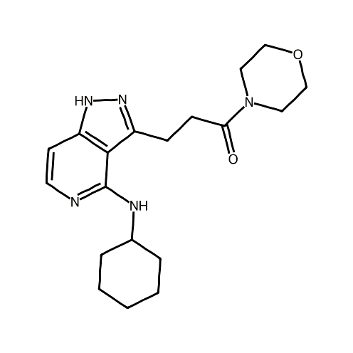 O=C(CCc1n[nH]c2ccnc(NC3CCCCC3)c12)N1CCOCC1